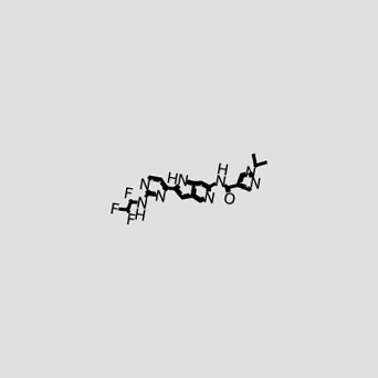 CC(C)n1cc(C(=O)Nc2cc3[nH]c(-c4ccnc(NC(F)C(F)F)n4)cc3cn2)cn1